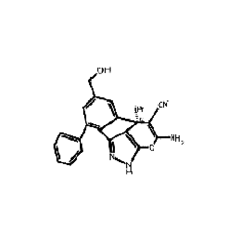 Cc1n[nH]c2c1[C@](c1cc(CO)cc(-c3ccccc3)c1)(C(C)C)C(C#N)=C(N)O2